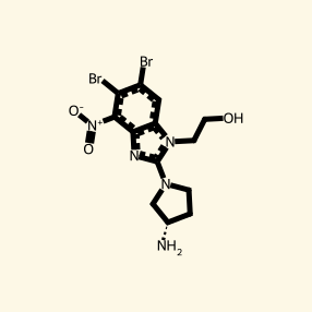 N[C@H]1CCN(c2nc3c([N+](=O)[O-])c(Br)c(Br)cc3n2CCO)C1